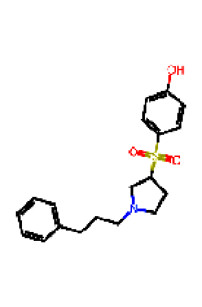 O=S(=O)(c1ccc(O)cc1)[C@H]1CCN(CCCc2ccccc2)C1